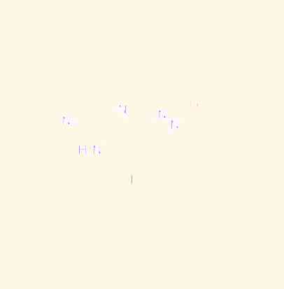 Cc1ccc2c(cnn2C2CCCCO2)c1Oc1cncc(C#N)c1N